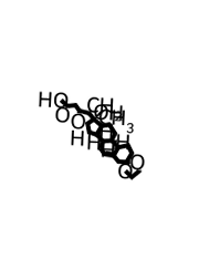 C=C(C(O)CC(=O)O)[C@@]1(O)CC[C@H]2[C@@H]3CC=C4CC5(CC[C@@H]4[C@H]3CC[C@@]21C)OCCO5